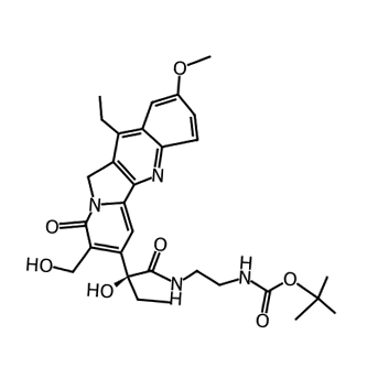 CCc1c2c(nc3ccc(OC)cc13)-c1cc([C@@](O)(CC)C(=O)NCCNC(=O)OC(C)(C)C)c(CO)c(=O)n1C2